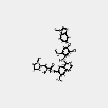 COc1cc2ncnc(Nc3cc(Cl)c(Oc4ccc5c(c4)ncn5C)cc3OC)c2cc1NC(=O)/C(F)=C/[C@H]1CCCN1C